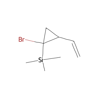 C=CC1CC1(Br)[Si](C)(C)C